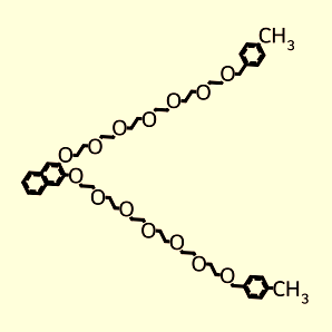 Cc1ccc(COCCOCCOCCOCCOCCOCCOc2cc3ccccc3cc2OCCOCCOCCOCCOCCOCCOCc2ccc(C)cc2)cc1